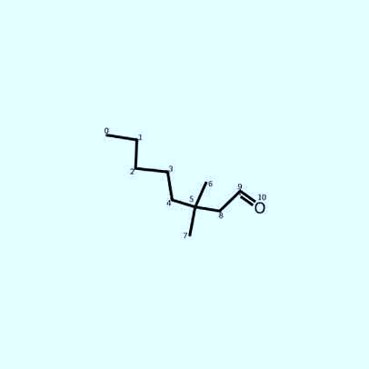 CCCCCC(C)(C)C[C]=O